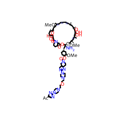 CO[C@H]1C[C@@H]2CC[C@@H](C)[C@@](O)(O2)C(=O)C(=O)N2CCCC[C@H]2C(=O)O[C@H]([C@H](N)C[C@@H]2CC[C@@H](OC(=O)N3CCc4nc(N5CCN(CCOCCN6CCN(c7ncc(C(C)=O)cn7)CC6)CC5)ncc4C3)[C@H](OC)C2)C[C@@H](OC)[C@H](C)/C=C(\C)[C@@H](O)[C@@H](O)C(=O)[C@H](C)C[C@H](C)/C=C/C=C/C=C/1C